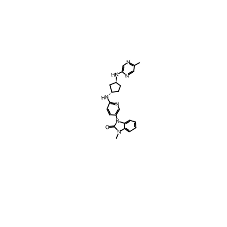 Cc1cnc(N[C@H]2CC[C@H](Nc3ccc(-n4c(=O)n(C)c5ccccc54)cn3)C2)cn1